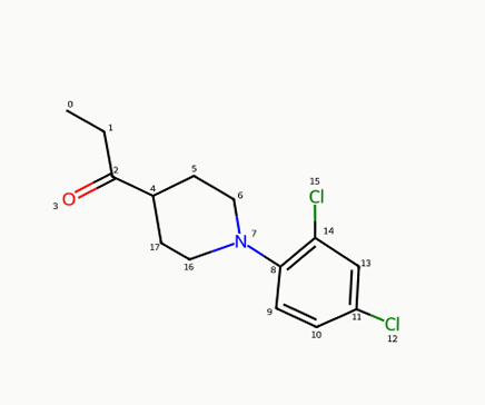 CCC(=O)C1CCN(c2ccc(Cl)cc2Cl)CC1